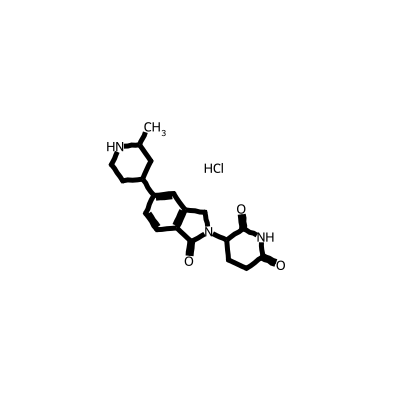 CC1CC(c2ccc3c(c2)CN(C2CCC(=O)NC2=O)C3=O)CCN1.Cl